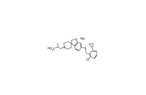 CC(CN1CCC2(CC1)COc1cc(SCc3c(Cl)cccc3C3CC3)ccc12)C(=O)O.Cl